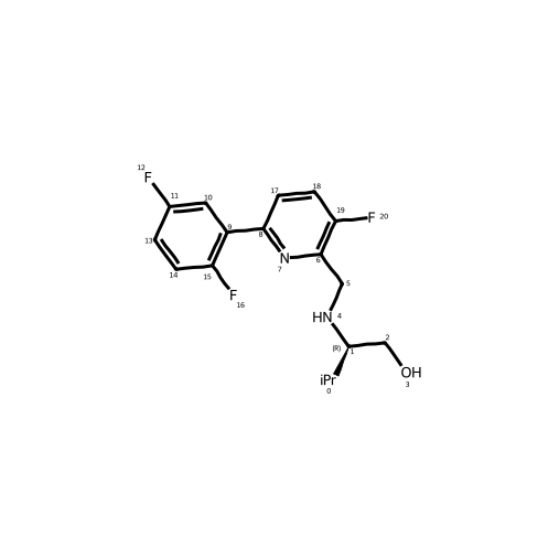 CC(C)[C@H](CO)NCc1nc(-c2cc(F)ccc2F)ccc1F